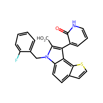 O=C(O)c1c(-c2ccc[nH]c2=O)c2c3sccc3ccc2n1Cc1ccccc1F